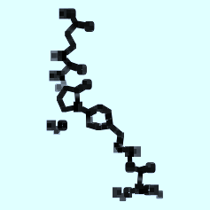 CN(C)C(=O)ONN=Cc1ccc(N2CC[C@H](NC(=O)NCCC(=O)O)C2=O)cc1.O